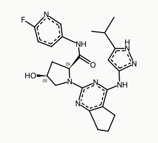 CC(C)c1cc(Nc2nc(N3C[C@@H](O)C[C@H]3C(=O)Nc3ccc(F)nc3)nc3c2CCC3)n[nH]1